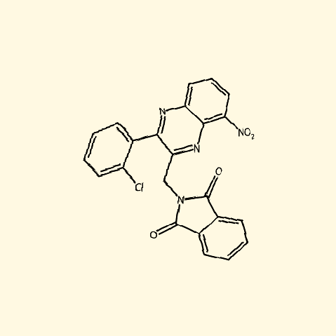 O=C1c2ccccc2C(=O)N1Cc1nc2c([N+](=O)[O-])cccc2nc1-c1ccccc1Cl